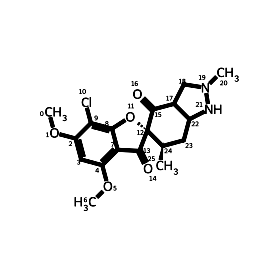 COc1cc(OC)c2c(c1Cl)O[C@]1(C2=O)C(=O)C2CN(C)NC2C[C@H]1C